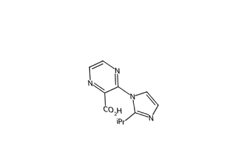 CC(C)c1nccn1-c1nccnc1C(=O)O